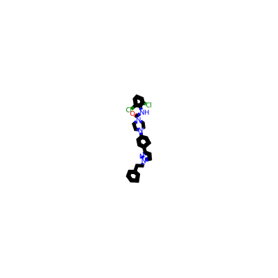 O=C(Nc1c(Cl)cccc1Cl)N1CCN(c2ccc(-c3ccn(CCc4ccccc4)n3)cc2)CC1